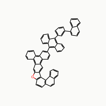 c1cc(-c2cccc3ccccc23)cc(-c2c3ccccc3c(-c3ccc4c(c3)c3ccccc3c3cc5oc6ccc7ccc8ccccc8c7c6c5cc43)c3ccccc23)c1